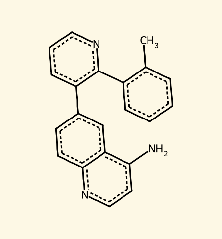 Cc1ccccc1-c1ncccc1-c1ccc2nccc(N)c2c1